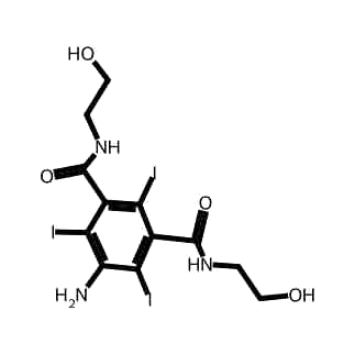 Nc1c(I)c(C(=O)NCCO)c(I)c(C(=O)NCCO)c1I